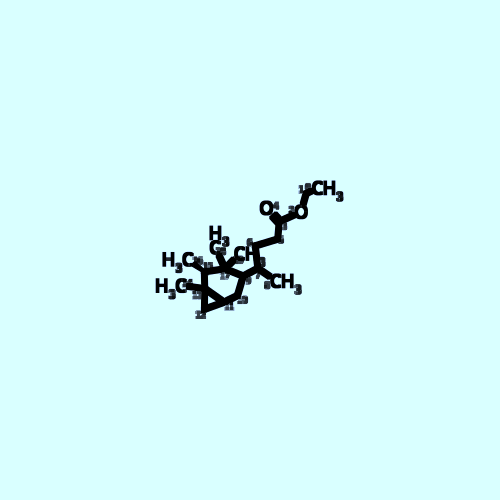 CCOC(=O)CCC(C)C1CC2CC2(C)[C@@H](C)C1(C)C